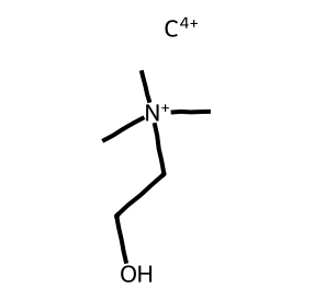 C[N+](C)(C)CCO.[C+4]